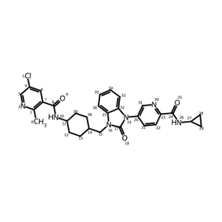 Cc1ncc(Cl)cc1C(=O)NC1CCC(Cn2c(=O)n(-c3ccc(C(=O)NC4CC4)nc3)c3ccccc32)CC1